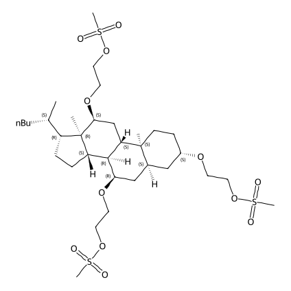 CCCC[C@H](C)[C@H]1CC[C@H]2[C@@H]3[C@H](OCCOS(C)(=O)=O)C[C@@H]4C[C@@H](OCCOS(C)(=O)=O)CC[C@]4(C)[C@H]3C[C@H](OCCOS(C)(=O)=O)[C@]12C